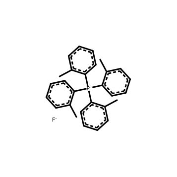 Cc1ccccc1[P+](c1ccccc1C)(c1ccccc1C)c1ccccc1C.[F-]